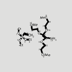 C=C[Si](OCC)(OCC)OCC.COCCOC([SiH3])=C(OCCOC)OCCOC